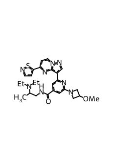 CCN(CC)C(C)CNC(=O)c1cc(-c2cnn3ccc(-c4ccns4)nc23)nc(N2CC(OC)C2)c1